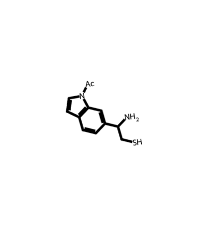 CC(=O)n1ccc2ccc(C(N)CS)cc21